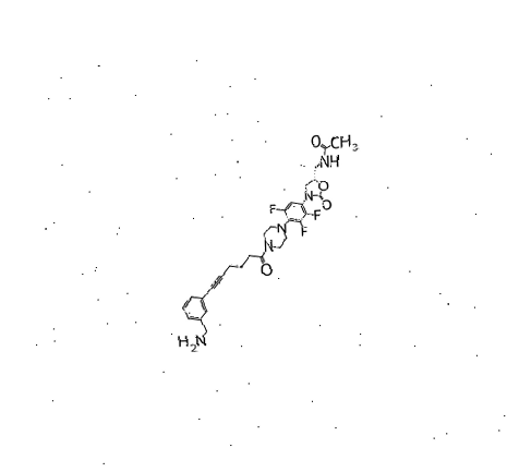 CC(=O)NC[C@H]1CN(c2cc(F)c(N3CCN(C(=O)CCCC#Cc4cccc(CN)c4)CC3)c(F)c2F)C(=O)O1